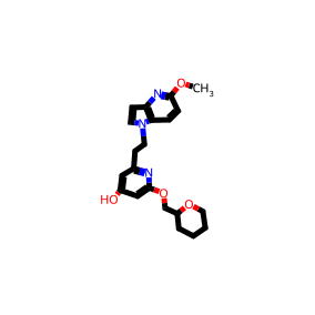 COc1ccc2c(ccn2CCc2cc(O)cc(OCC3CCCCO3)n2)n1